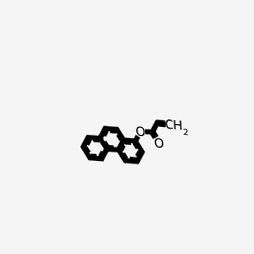 C=CC(=O)Oc1cccc2c1ccc1ccccc12